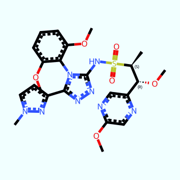 COc1cnc([C@@H](OC)[C@H](C)S(=O)(=O)Nc2nnc(-c3ccn(C)n3)n2-c2c(OC)cccc2OC)cn1